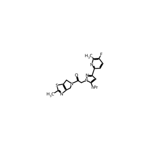 CCCc1cc(-c2ccc(F)c(C)n2)nn1CC(=O)N1Cc2nc(C)sc2C1